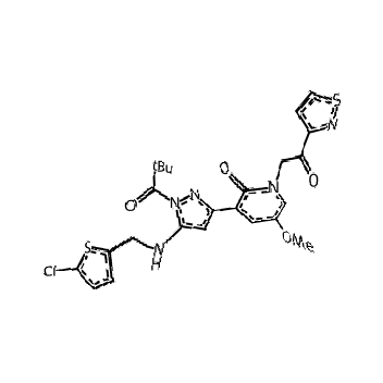 COc1cc(-c2cc(NCc3ccc(Cl)s3)n(C(=O)C(C)(C)C)n2)c(=O)n(CC(=O)c2ccsn2)c1